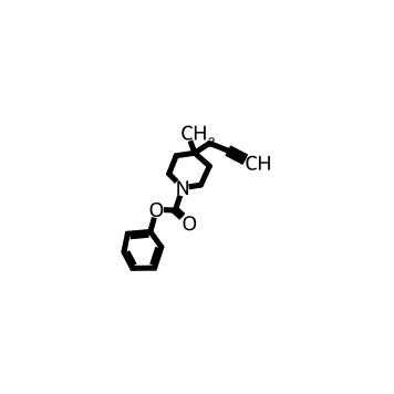 C#CCC1(C)CCN(C(=O)Oc2ccccc2)CC1